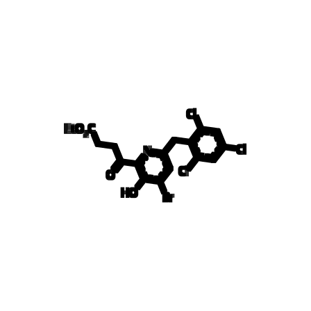 CCOC(=O)CCC(=O)c1nc(Cc2c(Cl)cc(Cl)cc2Cl)cc(Br)c1O